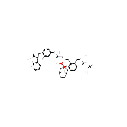 CC(=O)N1C2CCC1CC(C)(C(=O)N(CC(=O)Nc1ccc3c(c1)C[C@@]1(C3)C(=O)Nc3ncccc31)Cc1ccccc1CN(C)C(=O)OC(C)(C)C)C2